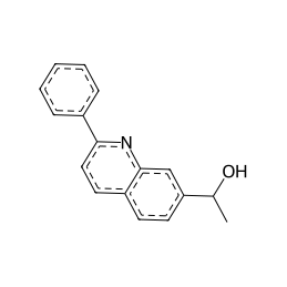 CC(O)c1ccc2ccc(-c3ccccc3)nc2c1